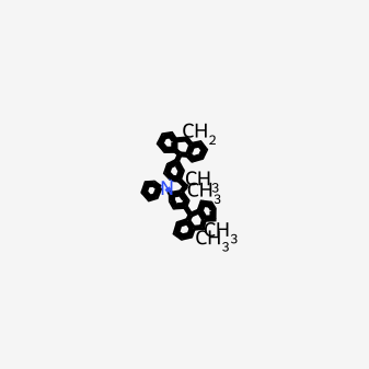 C=C1c2ccccc2C(c2ccc3c(c2)C(C)(C)c2cc(C4c5ccccc5C(C)(C)c5ccccc54)ccc2N3c2ccccc2)c2ccccc21